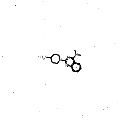 CN(C)c1nc(N2CCC(N)CC2)nc2ccccc12